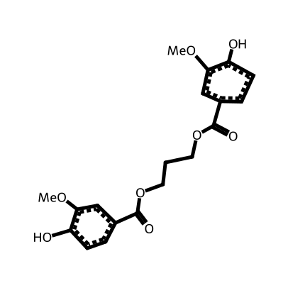 COc1cc(C(=O)OCCCOC(=O)c2ccc(O)c(OC)c2)ccc1O